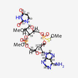 COSP1(=O)OC[C@H]2O[C@@H](n3ccc(=O)[nH]c3=O)[C@H](OC)[C@@H]2OP(=O)(OC)OC[C@@H]2C[C@@H](O1)[C@H](n1cnc3c(N)ncnc31)O2